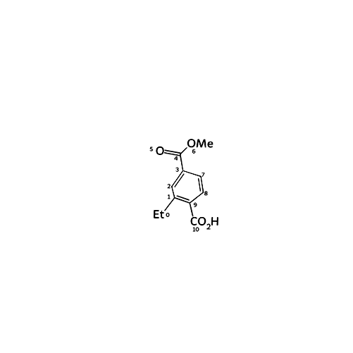 CCc1cc(C(=O)OC)ccc1C(=O)O